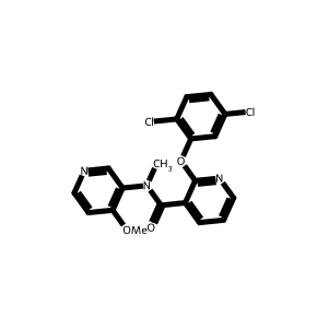 COc1ccncc1N(C)C(=O)c1cccnc1Oc1cc(Cl)ccc1Cl